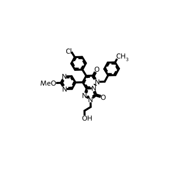 COc1ncc(-c2c(-c3ccc(Cl)cc3)c(=O)n(Cc3ccc(C)cc3)n3c(=O)n(CCO)nc23)cn1